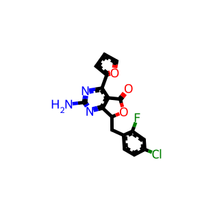 Nc1nc(-c2ccco2)c2c(n1)C(Cc1ccc(Cl)cc1F)OC2=O